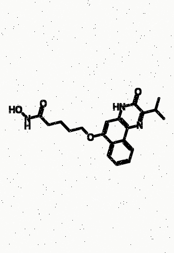 CC(C)c1nc2c(cc(OCCCCC(=O)NO)c3ccccc32)[nH]c1=O